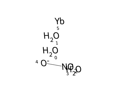 O.O.O.O=[N+]([O-])[O-].[Yb]